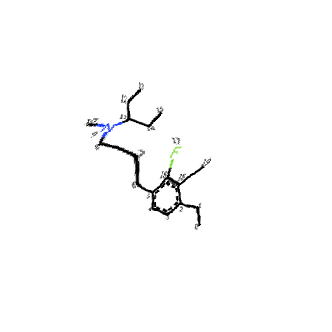 CCc1ccc(CCCN(C)C(CC)CC)c(F)c1C